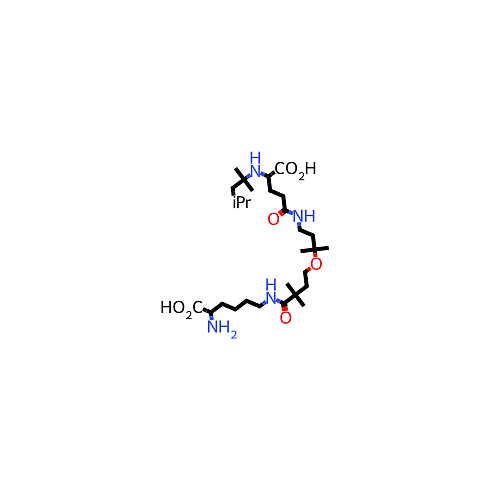 CC(C)CC(C)(C)NC(CCC(=O)NCCC(C)(C)OCCC(C)(C)C(=O)NCCCCC(N)C(=O)O)C(=O)O